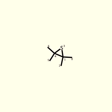 CC1(C)SC1(C)C